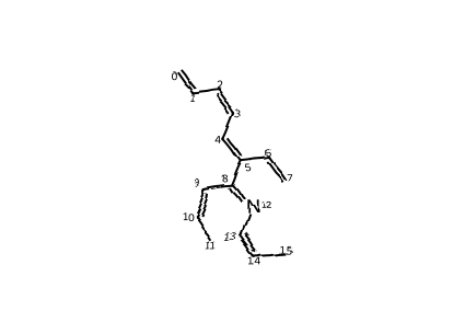 C=C/C=C\C=C(/C=C)C(/C=C\C)=N/C=C\C